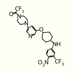 O=C(N1CCN(c2cncc(O[C@H]3CC[C@H](Nc4ccc([N+](=O)[O-])c(C(F)(F)F)c4)CC3)c2)CC1)C(F)(F)F